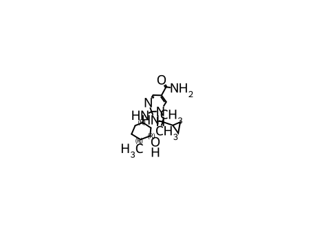 C[C@@H]1CC[C@@H](NC2(NC(C)(C)C3CC3)N=CC(C(N)=O)=CN2)C[C@H]1O